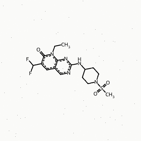 CCn1c(=O)c(C(F)F)cc2cnc(NC3CCN(S(C)(=O)=O)CC3)nc21